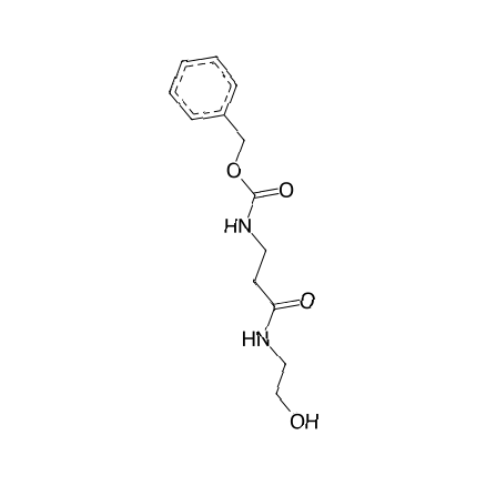 O=C(CCNC(=O)OCc1ccccc1)NCCO